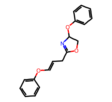 C(=COc1ccccc1)CC1=NC(Oc2ccccc2)CO1